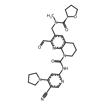 CN(Cc1cc2c(nc1C=O)N(C(=O)Nc1cc(N3CCCC3)c(C#N)cn1)CCC2)C(=O)[C@H]1CCCO1